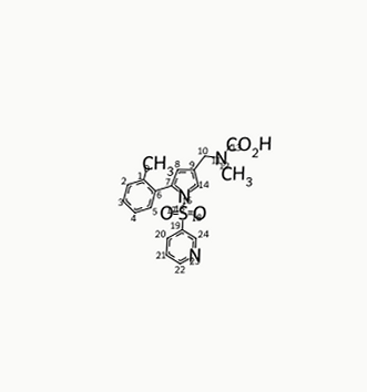 Cc1ccccc1-c1cc(CN(C)C(=O)O)cn1S(=O)(=O)c1cccnc1